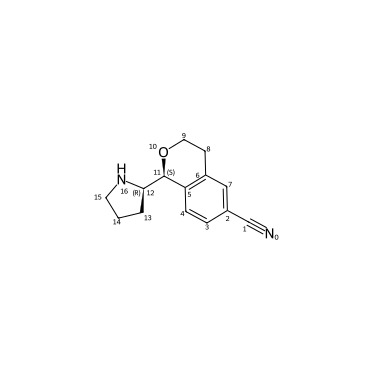 N#Cc1ccc2c(c1)CCO[C@@H]2[C@H]1CCCN1